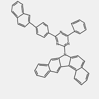 c1ccc(-c2nc(-c3ccc(-c4ccc5ccccc5c4)cc3)nc(-n3c4cc5ccccc5cc4c4c5ccccc5ccc43)n2)cc1